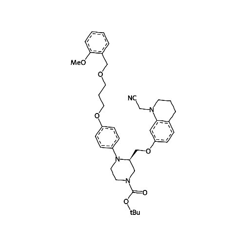 COc1ccccc1COCCCOc1ccc(N2CCN(C(=O)OC(C)(C)C)C[C@@H]2COc2ccc3c(c2)N(CC#N)CCC3)cc1